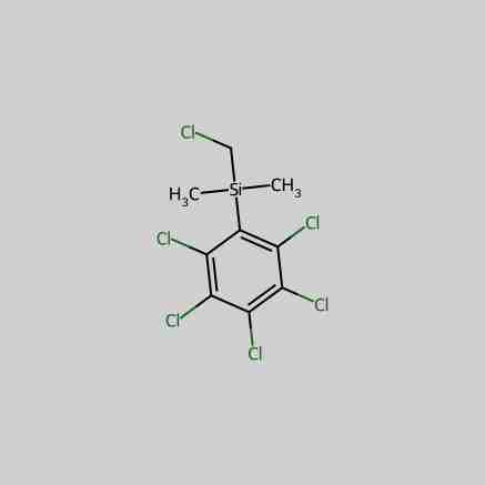 C[Si](C)(CCl)c1c(Cl)c(Cl)c(Cl)c(Cl)c1Cl